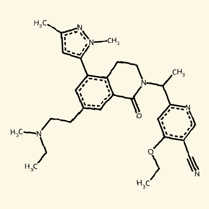 CCOc1cc(C(C)N2CCc3c(cc(CCN(C)CC)cc3-c3cc(C)nn3C)C2=O)ncc1C#N